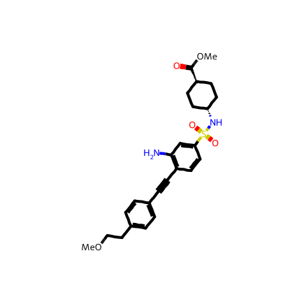 COCCc1ccc(C#Cc2ccc(S(=O)(=O)N[C@H]3CC[C@H](C(=O)OC)CC3)cc2N)cc1